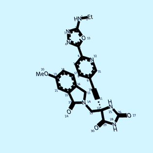 CCNc1nnc(-c2ccc(C#C[C@]3(CN4Cc5ccc(OC)cc5C4=O)NC(=O)NC3=O)cn2)o1